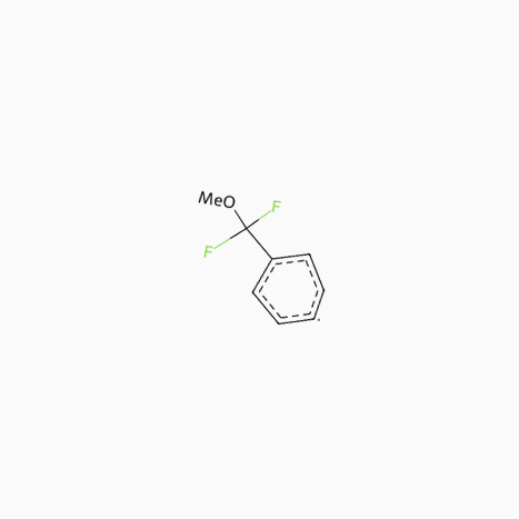 COC(F)(F)c1cc[c]cc1